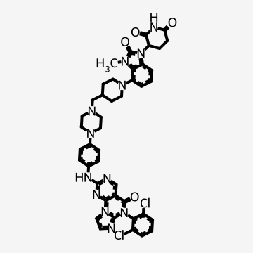 Cn1c(=O)n(C2CCC(=O)NC2=O)c2cccc(N3CCC(CN4CCN(c5ccc(Nc6ncc7c(=O)n(-c8c(Cl)cccc8Cl)c8nccn8c7n6)cc5)CC4)CC3)c21